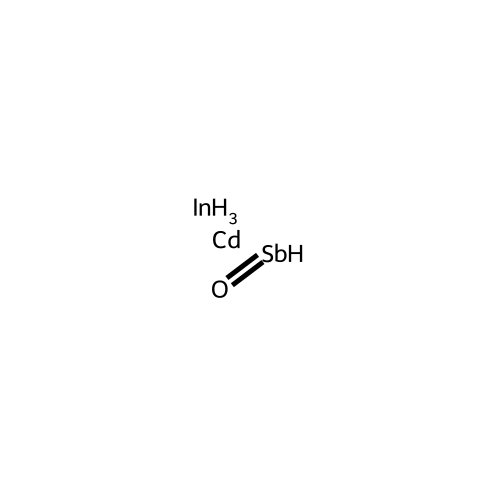 [Cd].[InH3].[O]=[SbH]